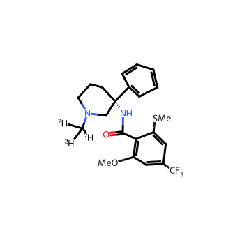 [2H]C([2H])([2H])N1CCC[C@@](NC(=O)c2c(OC)cc(C(F)(F)F)cc2SC)(c2ccccc2)C1